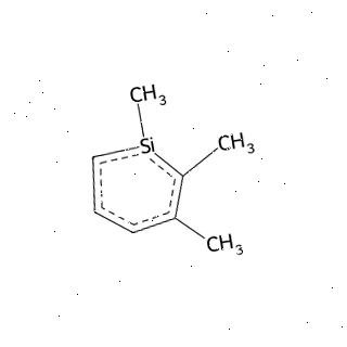 Cc1ccc[si](C)c1C